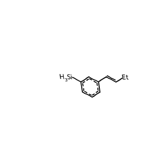 CCC=Cc1cccc([SiH3])c1